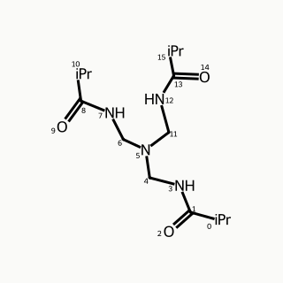 CC(C)C(=O)NCN(CNC(=O)C(C)C)CNC(=O)C(C)C